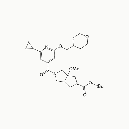 COC12CN(C(=O)OC(C)(C)C)CC1CN(C(=O)c1cc(OCC3CCOCC3)nc(C3CC3)c1)C2